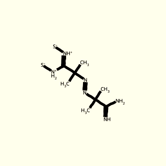 CC(C)(N=NC(C)(C)C(=[NH+][S-])[NH2+][S-])C(=N)N